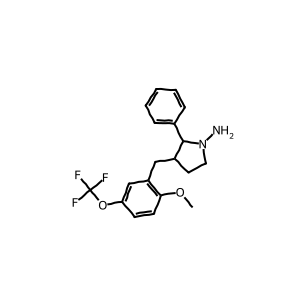 COc1ccc(OC(F)(F)F)cc1CC1CCN(N)C1c1ccccc1